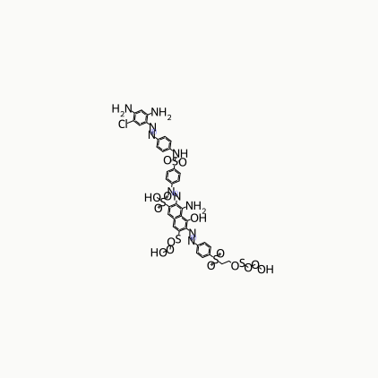 Nc1cc(N)c(/N=N/c2ccc(NS(=O)(=O)c3ccc(/N=N/c4c(S(=O)(=O)O)cc5cc(SOOO)c(/N=N/c6ccc(S(=O)(=O)CCOSOOO)cc6)c(O)c5c4N)cc3)cc2)cc1Cl